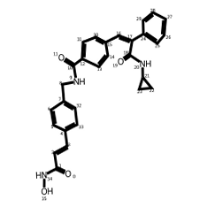 O=C(C=Cc1ccc(CNC(=O)c2ccc(C=C(C(=O)NC3CC3)c3ccccc3)cc2)cc1)NO